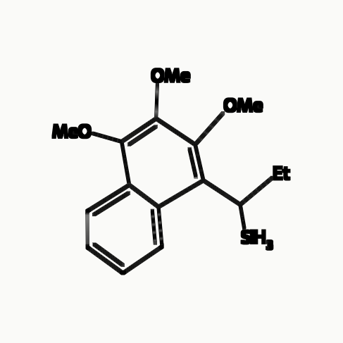 CCC([SiH3])c1c(OC)c(OC)c(OC)c2ccccc12